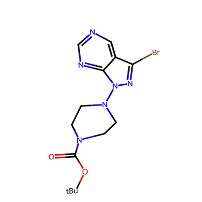 CC(C)(C)OC(=O)N1CCN(n2nc(Br)c3cncnc32)CC1